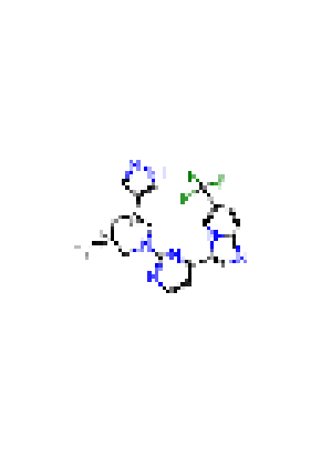 C[C@H]1C[C@@H](c2cn[nH]c2)CN(c2nccc(-c3cnc4ccc(C(F)(F)F)cn34)n2)C1